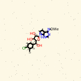 CON=c1nc[nH]c2c1ccn2[C@@H]1O[C@H]([C@H](O)c2ccc(Cl)c(C)c2)[C@@H](O)[C@H]1O